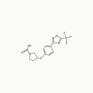 O=C(O)N1CCC(Sc2ccc(-c3noc(C(F)(F)F)n3)cc2)C1